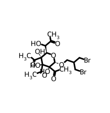 CC(=O)C(O)[C@H]1O[C@H](OCC(CBr)CBr)[C@@](O)(C(C)=O)[C@](O)(C(C)=O)[C@@]1(O)C(C)=O